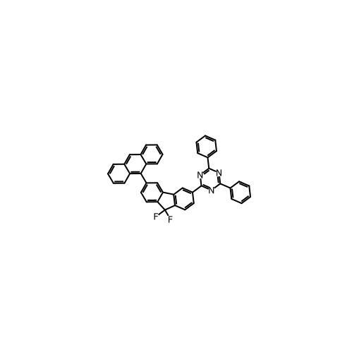 FC1(F)c2ccc(-c3nc(-c4ccccc4)nc(-c4ccccc4)n3)cc2-c2cc(-c3c4ccccc4cc4ccccc34)ccc21